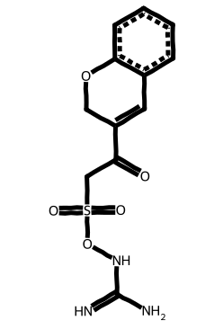 N=C(N)NOS(=O)(=O)CC(=O)C1=Cc2ccccc2OC1